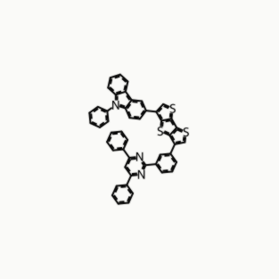 c1ccc(-c2cc(-c3ccccc3)nc(-c3cccc(-c4csc5c4sc4c(-c6ccc7c(c6)c6ccccc6n7-c6ccccc6)csc45)c3)n2)cc1